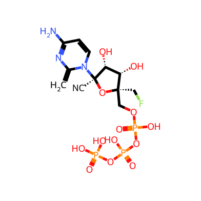 C=C1N=C(N)C=CN1[C@]1(C#N)O[C@](CF)(COP(=O)(O)OP(=O)(O)OP(=O)(O)O)[C@@H](O)[C@H]1O